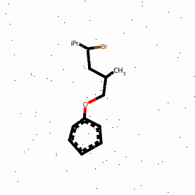 CC(COc1ccccc1)CC(Br)C(C)C